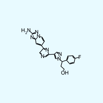 Nc1nc2cc(-c3cncc(-c4cnn(C(CCO)c5ccc(F)cc5)c4)n3)ccn2n1